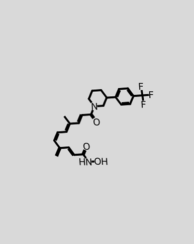 C=C(\C=C/C=C(C)/C=C/C(=O)N1CCCC(c2ccc(C(F)(F)F)cc2)C1)/C=C/C(=O)NO